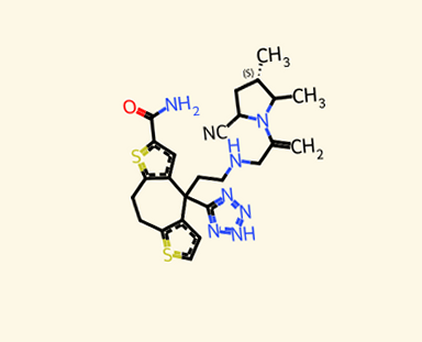 C=C(CNCCC1(c2nn[nH]n2)c2ccsc2CCc2sc(C(N)=O)cc21)N1C(C#N)C[C@H](C)C1C